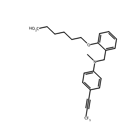 CN(Cc1ccccc1OCCCCCC(=O)O)c1ccc(C#CC(F)(F)F)cc1